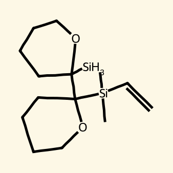 C=C[Si](C)(C)C1(C2([SiH3])CCCCO2)CCCCO1